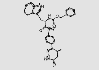 CC1CC(=O)NN=C1c1ccc(NC(=O)[C@H](Cc2c[nH]c3ccccc23)NC(=O)OCc2ccccc2)cc1